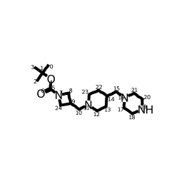 CC(C)(C)OC(=O)N1CC(CN2CCC(CN3CCNCC3)CC2)C1